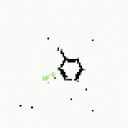 F.F.[Al][c]1ccccc1